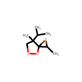 CC(C)C1(C)COOC12SC2C